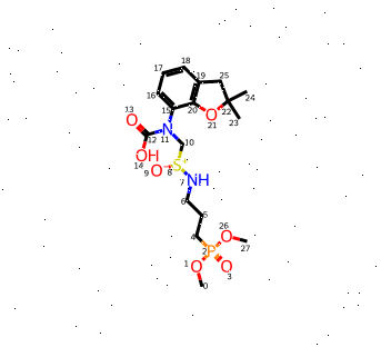 COP(=O)(CCCN[S+]([O-])CN(C(=O)O)c1cccc2c1OC(C)(C)C2)OC